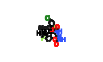 COc1cc(Cl)ccc1S(=O)(=O)NC(c1n[nH]c(=O)o1)C(C)c1cccc(F)c1C